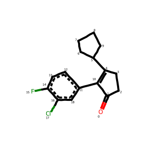 O=C1CCC(C2CCCC2)=C1c1ccc(F)c(Cl)c1